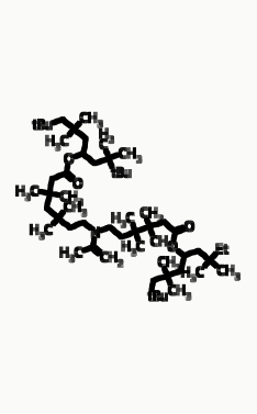 C=C(C)N(CCC(C)(C)CC(C)(C)CC(=O)OC(CC(C)(C)CC(C)(C)C)CC(C)(C)C(C)(C)C)CCC(C)(C)C(C)(C)CC(=O)OC(CC(C)(C)CC)CC(C)(C)CC(C)(C)C